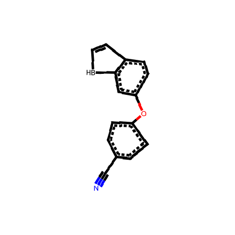 N#Cc1ccc(Oc2ccc3c(c2)BC=C3)cc1